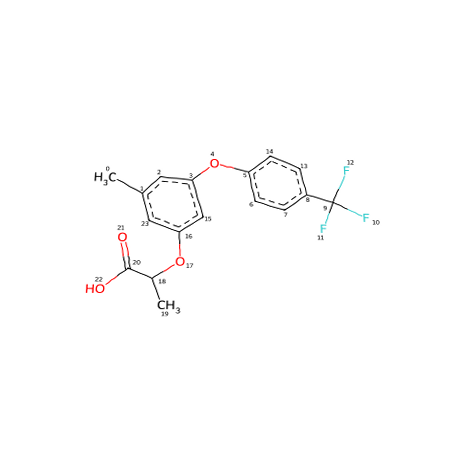 Cc1cc(Oc2ccc(C(F)(F)F)cc2)cc(OC(C)C(=O)O)c1